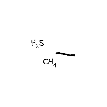 C.CC.S